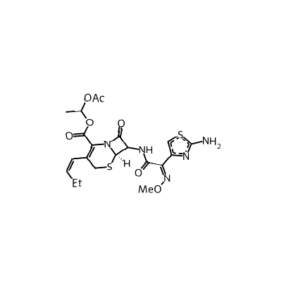 CC/C=C\C1=C(C(=O)OC(C)OC(C)=O)N2C(=O)C(NC(=O)/C(=N\OC)c3csc(N)n3)[C@H]2SC1